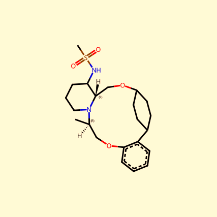 C[C@@H]1COc2ccccc2C2CCC(CC2)OC[C@H]2C(NS(C)(=O)=O)CCCN12